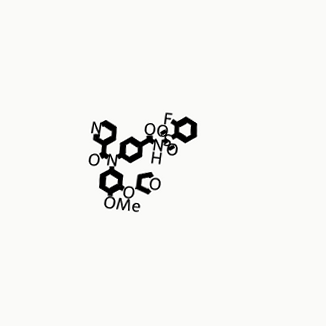 COc1ccc(N(C(=O)c2cccnc2)c2ccc(C(=O)NS(=O)(=O)c3ccccc3F)cc2)cc1O[C@@H]1CCOC1